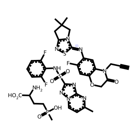 C#CCN1C(=O)COc2cc(F)c(/N=c3\snc4n3CC(C)(C)C4)cc21.CP(=O)(O)CCC(N)C(=O)O.Cc1ccn2nc(S(=O)(=O)Nc3c(F)cccc3F)nc2n1